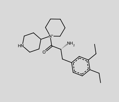 CCc1ccc(C[C@@H](N)C(=O)[N+]2(C3CCNCC3)CCCCC2)cc1CC